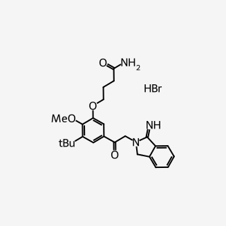 Br.COc1c(OCCCC(N)=O)cc(C(=O)CN2Cc3ccccc3C2=N)cc1C(C)(C)C